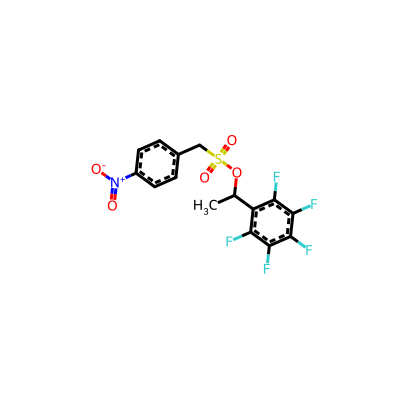 CC(OS(=O)(=O)Cc1ccc([N+](=O)[O-])cc1)c1c(F)c(F)c(F)c(F)c1F